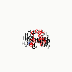 CC[C@H]1OC(=O)[C@H](C)[C@@H](O[C@H]2C[C@@](C)(OC)[C@@H](OC(=O)c3ccccc3)[C@H](C)O2)[C@H](C)[C@@H](O[C@@H]2O[C@H](C)C[C@H](N(C)C)[C@H]2OC(=O)c2ccccc2)[C@@](C)(OC)C[C@@H](C)C(=O)[C@H](C)[C@@H](O)[C@]1(C)O